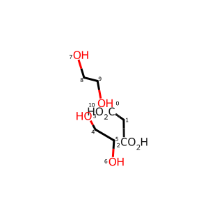 O=C(O)CC(=O)O.OCCO.OCCO